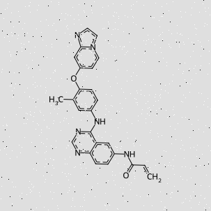 C=CC(=O)Nc1ccc2ncnc(Nc3ccc(Oc4ccn5ccnc5c4)c(C)c3)c2c1